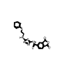 O=C(Nc1nnc(NCCSc2ccccc2)s1)c1ccc2c(c1)C(=O)OC2=O